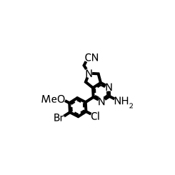 COc1cc(-c2nc(N)nc3c2CN(CC#N)C3)c(Cl)cc1Br